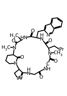 CC(C)CC1C(=O)NC(Cc2cc3ccccc3cn2)C(=O)NC(C)C(=O)N(C)C2CCCN(C2=O)C(CC(C)C)C(=O)NCC(=O)NCC(=O)N1C